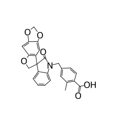 Cc1cc(CN2C(=O)C3(COc4cc5c(cc43)OCO5)c3ccccc32)ccc1C(=O)O